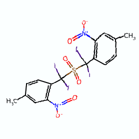 Cc1ccc(C(I)(I)S(=O)(=O)C(I)(I)c2ccc(C)cc2[N+](=O)[O-])c([N+](=O)[O-])c1